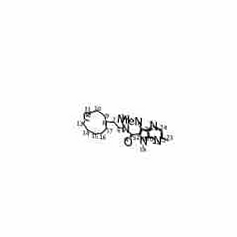 CNc1c(C(=O)NCCC2CCCCCCCCC2)n(C)c2nc(C)cnc12